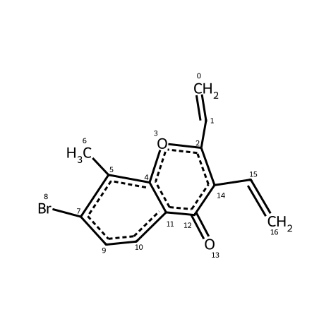 C=Cc1oc2c(C)c(Br)ccc2c(=O)c1C=C